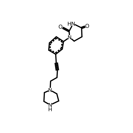 O=C1CCN(c2cccc(C#CCCN3CCNCC3)c2)C(=O)N1